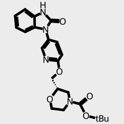 CC(C)(C)OC(=O)N1CCO[C@H](COc2ccc(-n3c(=O)[nH]c4ccccc43)cn2)C1